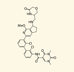 COc1nc(-c2cccc(-c3cccc(NC(=O)c4cn(C)c(=O)n(C)c4=O)c3Cl)c2Cl)cc2c1C(NCC1COCC(=O)N1)CC2